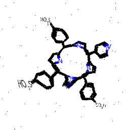 O=S(=O)(O)c1ccc(-c2c3nc(c(-c4ccc(S(=O)(=O)O)cc4)c4ccc([nH]4)c(-c4ccc(S(=O)(=O)O)cc4)c4nc(c(-c5ccncc5)c5ccc2[nH]5)C=C4)C=C3)cc1